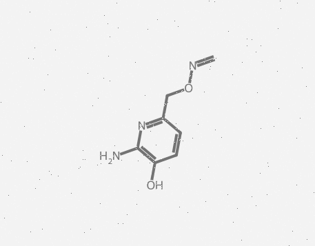 C=NOCc1ccc(O)c(N)n1